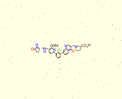 COc1nc(-c2cccc(-c3ccn4c(=O)c(CN5CCC[C@H](C(=O)O)C5)cnc4c3)c2Cl)ccc1CNC[C@@H]1CCC(=O)N1